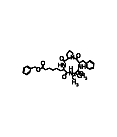 CC1(C)NC(=O)C(CCCCCC(=O)OCc2ccccc2)NC(=O)C2CCCN2C(=O)C(Cc2ccccc2)NC1=O